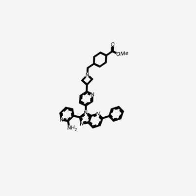 COC(=O)C1CCC(CN2CC(c3ccc(-n4c(-c5cccnc5N)nc5ccc(-c6ccccc6)nc54)cn3)C2)CC1